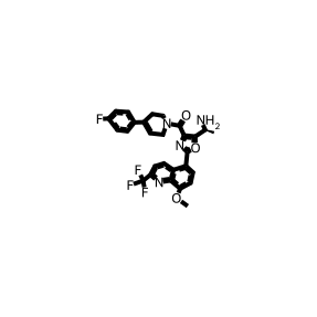 COc1ccc(-c2nc(C(=O)N3CC=C(c4ccc(F)cc4)CC3)c([C@H](C)N)o2)c2ccc(C(F)(F)F)nc12